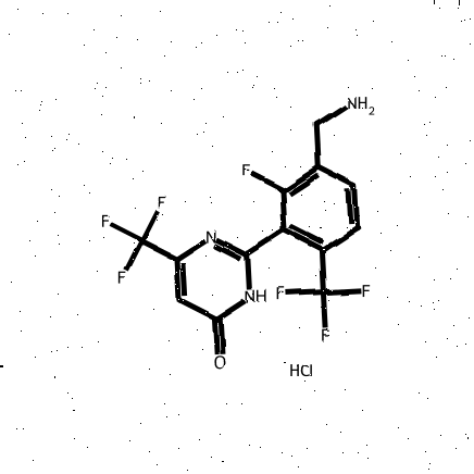 Cl.NCc1ccc(C(F)(F)F)c(-c2nc(C(F)(F)F)cc(=O)[nH]2)c1F